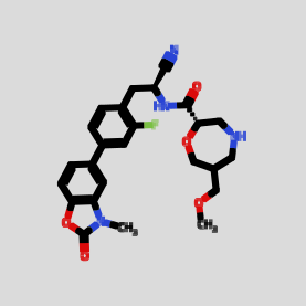 COCC1CNC[C@@H](C(=O)N[C@H](C#N)Cc2ccc(-c3ccc4oc(=O)n(C)c4c3)cc2F)OC1